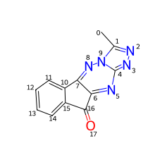 Cc1nnc2nc3c(nn12)-c1ccccc1C3=O